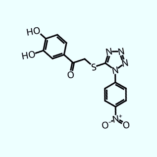 O=C(CSc1nnnn1-c1ccc([N+](=O)[O-])cc1)c1ccc(O)c(O)c1